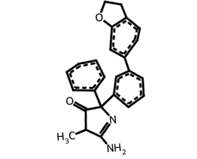 CC1C(=O)C(c2ccccc2)(c2cccc(-c3ccc4c(c3)OCC4)c2)N=C1N